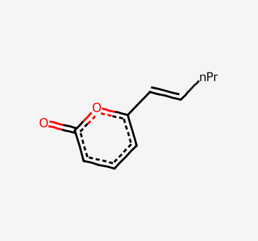 CCC/C=C/c1cccc(=O)o1